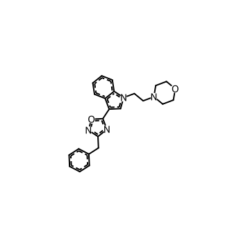 c1ccc(Cc2noc(-c3cn(CCN4CCOCC4)c4ccccc34)n2)cc1